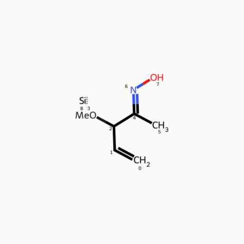 C=CC(OC)C(C)=NO.[Si]